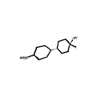 CCCCCCCC1CCC([C@H]2CC[C@](F)(CCC)CC2)CC1